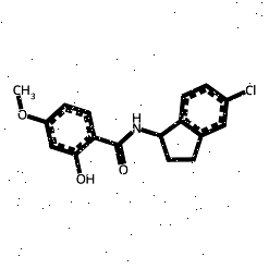 COc1ccc(C(=O)NC2CCc3cc(Cl)ccc32)c(O)c1